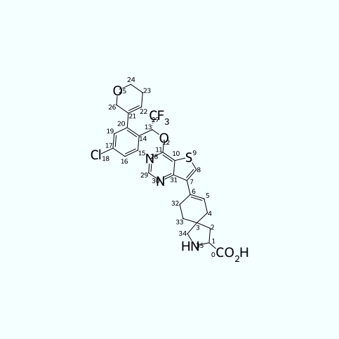 O=C(O)C1CC2(CC=C(c3csc4c(O[C@H](c5ccc(Cl)cc5C5=CCCOC5)C(F)(F)F)ncnc34)CC2)CN1